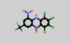 O=[N+]([O-])c1cc(C(F)(F)F)cc([N+](=O)[O-])c1Nc1c(Br)c(Br)c(Br)c(Br)c1Br